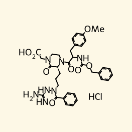 COc1ccc(CC(NC(=O)OCc2ccccc2)C(=O)N2CCN(CC(=O)O)C(=O)[C@@H]2CCCN(NC(=N)N)C(=O)c2ccccc2)cc1.Cl